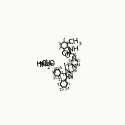 Cc1cccc(C)c1NC(=O)CN1CCN(Cc2nc(-c3ccccc3)c(-c3ccccc3)[nH]2)CC1.Cl.Cl.O